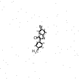 Cc1ccc(-c2nc3ccc(Br)cn3c2Cl)cc1